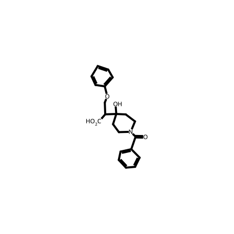 O=C(O)C(COc1ccccc1)C1(O)CCN(C(=O)c2ccccc2)CC1